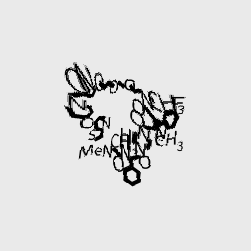 CN[C@@H](C)C(=O)NC(C(=O)N1CCN(C(=O)c2c(C(=O)N(C)CCOCCOCCOc3cc(CN4CCC(Oc5ccnc6ccsc56)CC4)on3)c3cc(F)ccc3n2C)CC1)C1CCCCC1